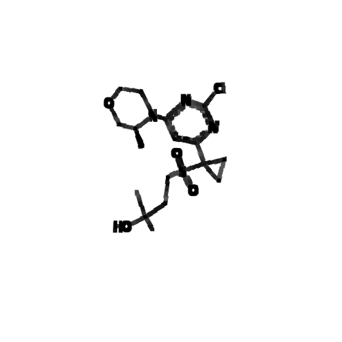 C[C@H]1COCCN1c1cc(C2(S(=O)(=O)CCC(C)(C)O)CC2)nc(Cl)n1